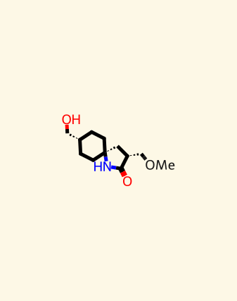 COC[C@H]1C[C@]2(CC[C@@H](CO)CC2)NC1=O